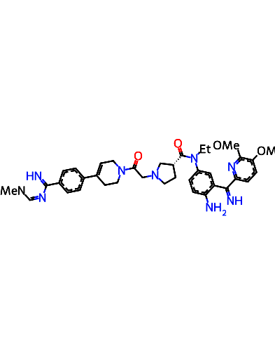 CCN(C(=O)[C@@H]1CCN(CC(=O)N2CC=C(c3ccc(C(=N)/N=C\NC)cc3)CC2)C1)c1ccc(N)c(C(=N)c2ccc(OC)c(OC)n2)c1